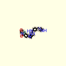 O=C(c1ccc(-n2ccc3cnc(Nc4ccc(CN5CCNCC5)cc4)nc32)cc1F)N1CCOCC1